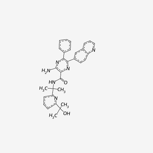 CC(C)(O)c1cccc(C(C)(C)NC(=O)c2nc(-c3ccc4ncccc4c3)c(-c3ccccc3)nc2N)n1